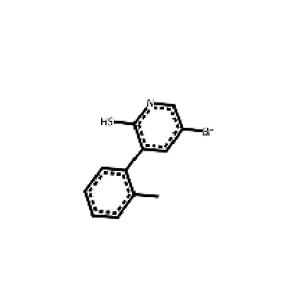 Cc1ccccc1-c1cc(Br)cnc1S